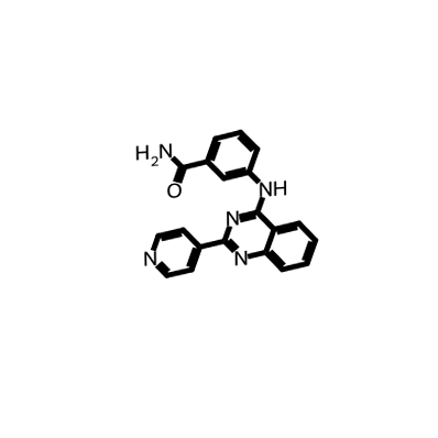 NC(=O)c1cccc(Nc2nc(-c3ccncc3)nc3ccccc23)c1